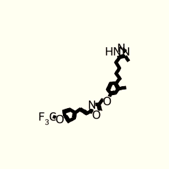 Cc1cc(OCc2coc(C=Cc3ccc(OC(F)(F)F)cc3)n2)ccc1CCCCc1[nH]nnc1C